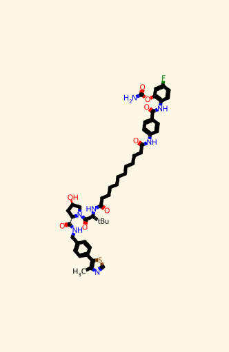 Cc1ncsc1-c1ccc(CNC(=O)[C@@H]2C[C@@H](O)CN2C(=O)C(NC(=O)CCCCCCCCCCC(=O)Nc2ccc(C(=O)Nc3ccc(F)cc3OC(N)=O)cc2)C(C)(C)C)cc1